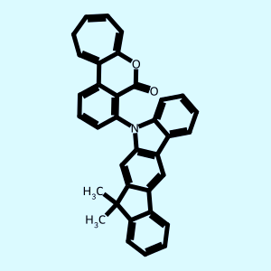 CC1(C)c2ccccc2-c2cc3c4ccccc4n(-c4cccc5c6c(oc(=O)c45)=CC=CCC=6)c3cc21